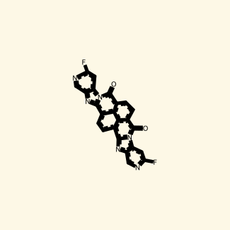 O=c1c2ccc3c(=O)n4c5cc(F)ncc5nc4c4ccc(c2c34)c2nc3cnc(F)cc3n12